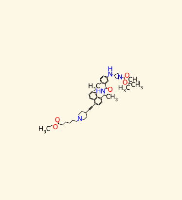 CCOC(=O)CCCCCN1CCC(C#Cc2ccc(C(C)NC(=O)c3cc(NC4CN(C(=O)OC(C)(C)C)C4)ccc3C)c3ccccc23)CC1